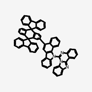 c1ccc2c(c1)-c1ccccc1C21c2ccccc2C2(c3ccccc3-c3ccccc32)c2cc(-c3cc4c5ccccc5n(-c5nc6ccccc6c6nc7ccccc7n56)c4c4ccccc34)ccc21